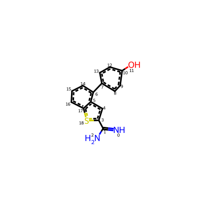 N=C(N)c1cc2c(-c3ccc(O)cc3)cccc2s1